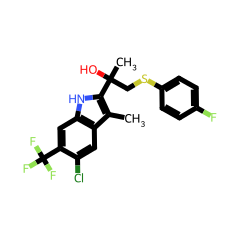 Cc1c(C(C)(O)CSc2ccc(F)cc2)[nH]c2cc(C(F)(F)F)c(Cl)cc12